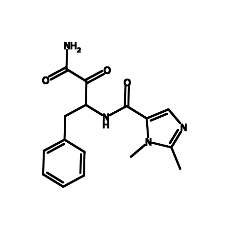 Cc1ncc(C(=O)NC(Cc2ccccc2)C(=O)C(N)=O)n1C